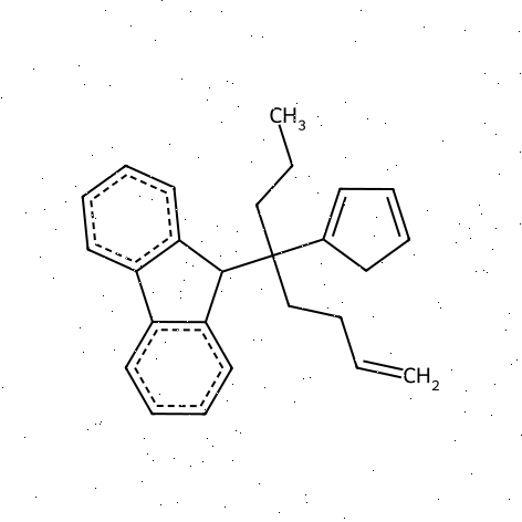 C=CCCC(CCC)(C1=CC=CC1)C1c2ccccc2-c2ccccc21